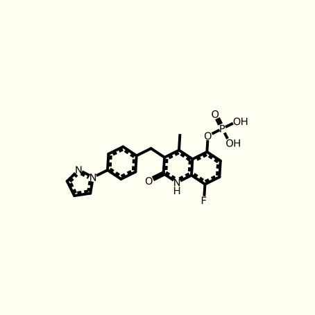 Cc1c(Cc2ccc(-n3cccn3)cc2)c(=O)[nH]c2c(F)ccc(OP(=O)(O)O)c12